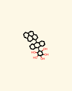 Oc1c(O)c(O)c(-c2c3ccccc3c(-c3ccc4ccc5cccc6ccc3c4c56)c3ccccc23)c(O)c1O